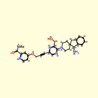 CNC(=O)c1cc(OCC#Cc2cnc(N3CCC4(CC3)Cc3ccccc3[C@H]4N)c(CO)n2)ccn1